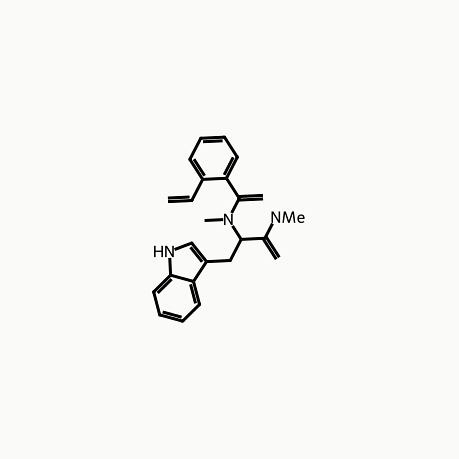 C=Cc1ccccc1C(=C)N(C)C(Cc1c[nH]c2ccccc12)C(=C)NC